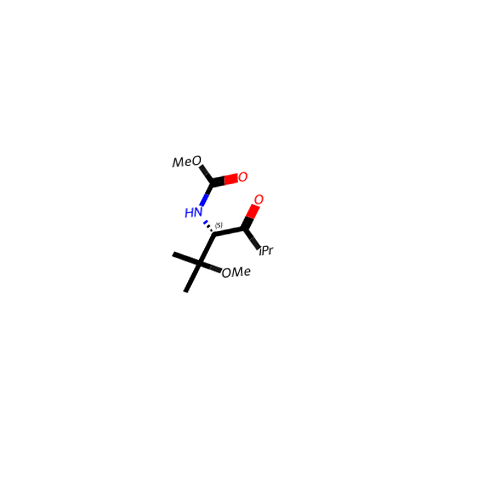 COC(=O)N[C@H](C(=O)C(C)C)C(C)(C)OC